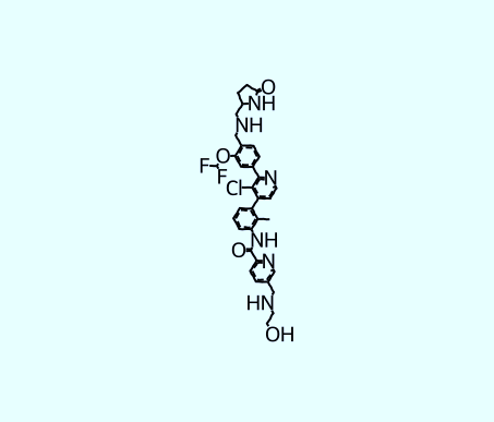 Cc1c(NC(=O)c2ccc(CNCCO)cn2)cccc1-c1ccnc(-c2ccc(CNCC3CCC(=O)N3)c(OC(F)F)c2)c1Cl